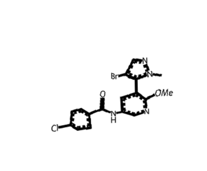 COc1ncc(NC(=O)c2ccc(Cl)cc2)cc1-c1c(Br)cnn1C